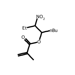 C=C(C)C(=O)OC(CCCC)C(CC)[N+](=O)[O-]